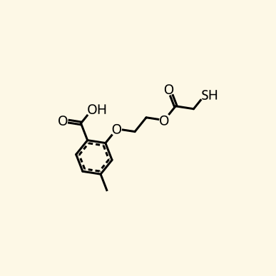 Cc1ccc(C(=O)O)c(OCCOC(=O)CS)c1